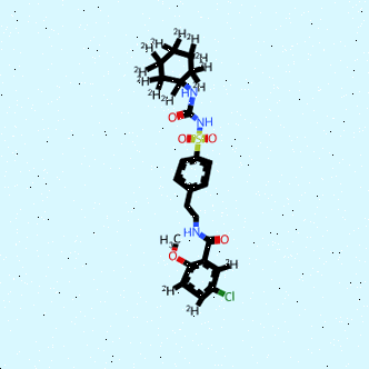 [2H]c1c([2H])c(OC)c(C(=O)NCCc2ccc(S(=O)(=O)NC(=O)NC3([2H])C([2H])([2H])C([2H])([2H])C([2H])([2H])C([2H])([2H])C3([2H])[2H])cc2)c([2H])c1Cl